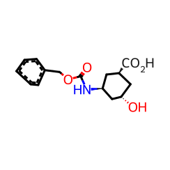 O=C(N[C@@H]1C[C@@H](O)C[C@H](C(=O)O)C1)OCc1ccccc1